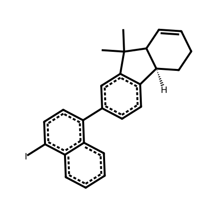 CC1(C)c2cc(-c3ccc(I)c4ccccc34)ccc2[C@@H]2CCC=CC21